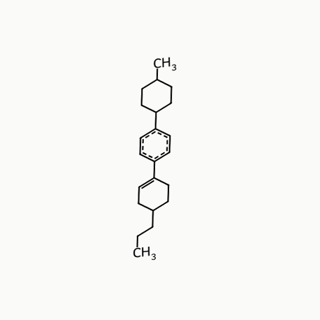 CCCC1CC=C(c2ccc(C3CCC(C)CC3)cc2)CC1